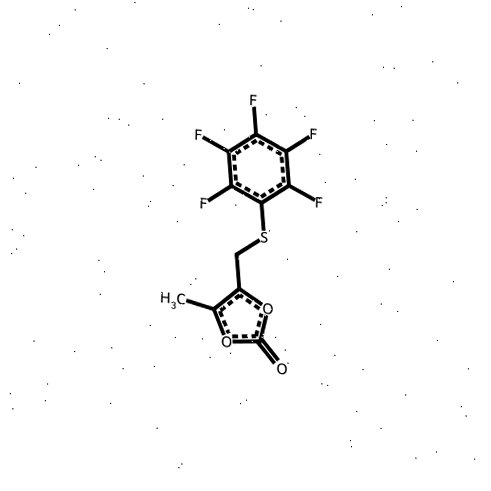 Cc1oc(=O)oc1CSc1c(F)c(F)c(F)c(F)c1F